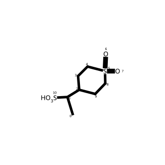 CC(C1CCS(=O)(=O)CC1)S(=O)(=O)O